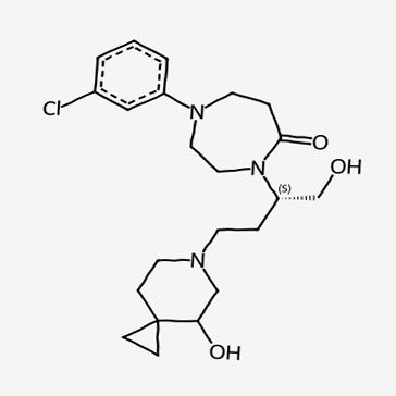 O=C1CCN(c2cccc(Cl)c2)CCN1[C@H](CO)CCN1CCC2(CC2)C(O)C1